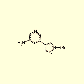 CC(C)(C)n1cc(-c2cncc(N)c2)cn1